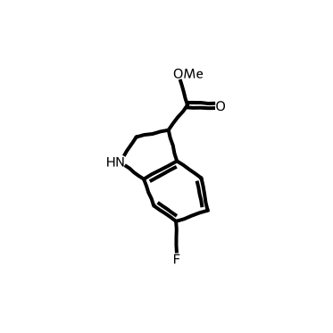 COC(=O)C1CNc2cc(F)ccc21